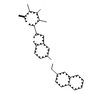 Cc1c(-c2cc3cc(OCc4ccc5ccccc5c4)ccc3o2)oc(=O)c(C)c1O